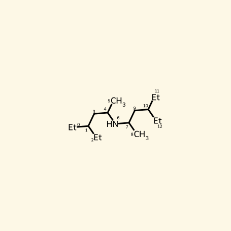 CCC(CC)CC(C)NC(C)CC(CC)CC